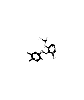 CCC(=O)Oc1cccc(CC)c1COc1cc(C)c(C)cc1C